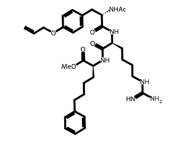 C=CCOc1ccc(C[C@H](NC(C)=O)C(=O)N[C@@H](CCCCNC(=N)N)C(=O)N[C@@H](CCCCc2ccccc2)C(=O)OC)cc1